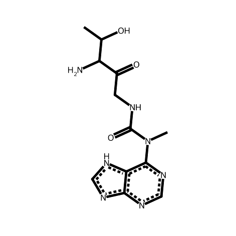 CC(O)C(N)C(=O)CNC(=O)N(C)c1ncnc2nc[nH]c12